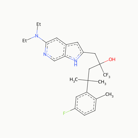 CCN(CC)c1cc2cc(CC(O)(CC(C)(C)c3cc(F)ccc3C)C(F)(F)F)[nH]c2cn1